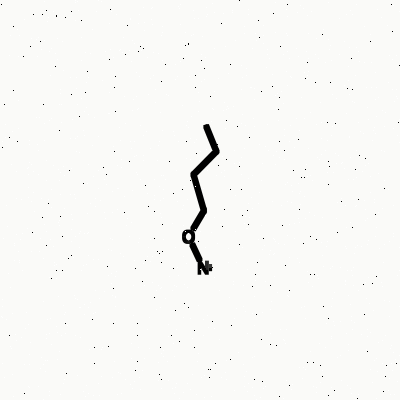 CCCCO[N]